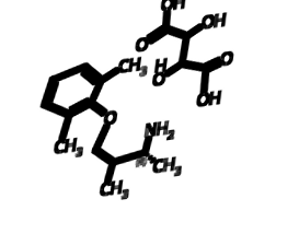 Cc1cccc(C)c1OCC(C)[C@@H](C)N.O=C(O)C(O)C(O)C(=O)O